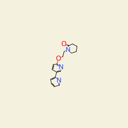 O=C1CCCCN1CCOc1ccc(-c2ccccn2)cn1